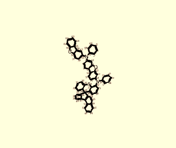 c1ccc(N(c2ccc3c(c2)oc2cc(N(c4ccccc4)c4cccc5c4Sc4ccccc4C54c5ccccc5-c5c4ccc4ccccc54)ccc23)c2ccc3oc4ccccc4c3c2)cc1